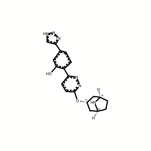 Oc1cc(-c2c[nH]nn2)ccc1-c1ccc(O[C@@H]2C[C@H]3CC[C@@H](C2)N3)nn1